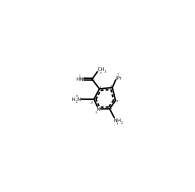 CC(=N)c1c(C(C)C)cc(N)nc1N